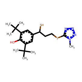 Cn1nnnc1SCCC(S)c1cc(C(C)(C)C)c(O)c(C(C)(C)C)c1